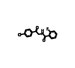 O=C(CNC(=O)c1ccccc1F)c1ccc(Cl)cc1